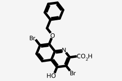 O=C(O)c1nc2c(OCc3ccccc3)c(Br)ccc2c(O)c1Br